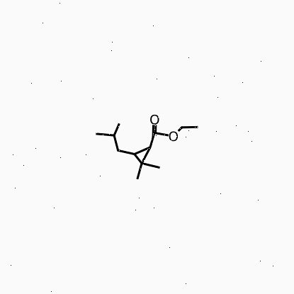 CCOC(=O)C1C(CC(C)C)C1(C)C